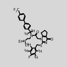 [2H]c1c([2H])c(CSc2nc(=O)c3c(n2CC(=O)N(CCN(CC)CC)C([2H])([2H])c2ccc(-c4ccc(C(F)(F)F)cc4)cc2)CCC3)c([2H])c([2H])c1F